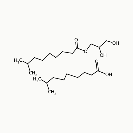 CC(C)CCCCCCC(=O)O.CC(C)CCCCCCC(=O)OCC(O)CO